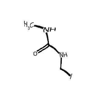 CNC(=O)NCI